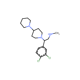 CNCC(c1ccc(Cl)c(Cl)c1)N1CCC(N2CCCCC2)CC1